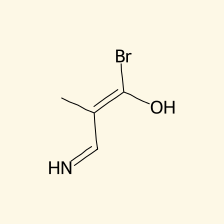 C/C(C=N)=C(/O)Br